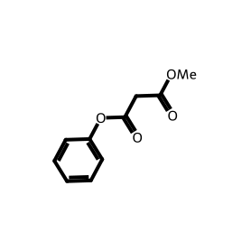 COC(=O)CC(=O)Oc1ccccc1